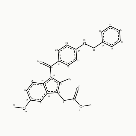 COC(=O)Cc1c(C)n(C(=O)c2ccc(OCc3ccccc3)cc2)c2ccc(OC)cc12